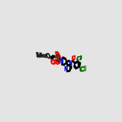 COC(=O)CS(=O)(=O)N1CCC(CNC(=O)c2ccc(Cl)cc2Cl)(c2ccccn2)CC1